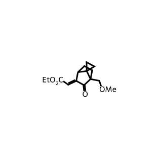 CCOC(=O)C=C1C(=O)C2(COC)CCC1C21CC1